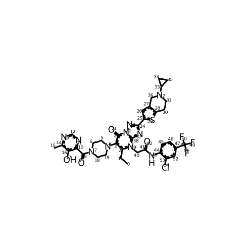 CCc1c(N2CCN(C(=O)c3ncnc(C)c3O)CC2)c(=O)n2nc(-c3cc4c(s3)CCN(C3CC3)C4)nc2n1CC(=O)Nc1ccc(C(F)(F)F)cc1Cl